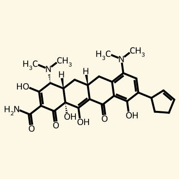 CN(C)c1cc(C2C=CCC2)c(O)c2c1C[C@H]1C[C@H]3[C@@H](N(C)C)C(O)=C(C(N)=O)C(=O)[C@]3(O)C(O)=C1C2=O